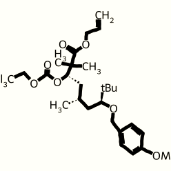 C=CCOC(=O)C(C)(C)[C@H](C[C@@H](C)C[C@H](OCc1ccc(OC)cc1)C(C)(C)C)OC(=O)OCC(Cl)(Cl)Cl